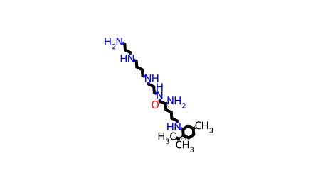 CC1CC[C@@H](C(C)C)C(NCCCC[C@H](N)C(=O)NCCCNCCCCNCCCN)C1